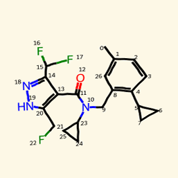 Cc1ccc(C2CC2)c(CN(C(=O)c2c(C(F)F)n[nH]c2CF)C2CC2)c1